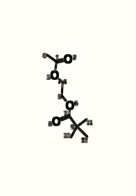 CC(=O)O[CH]COC(=O)C(C)(C)C